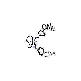 COc1ccc(/C=C/C(=O)C2(C(=O)/C=C/c3ccc(OC)cc3)CCCCC2)cc1